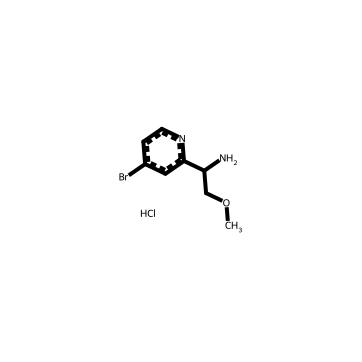 COCC(N)c1cc(Br)ccn1.Cl